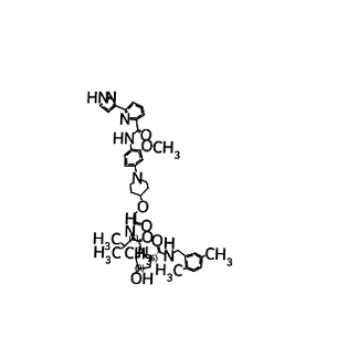 COc1cc(N2CCC(OCC(=O)N[C@H](C(=O)N3C[C@H](O)C[C@H]3C(=O)NCc3cc(C)ccc3C)C(C)(C)C)CC2)ccc1NC(=O)c1cccc(-c2cc[nH]n2)n1